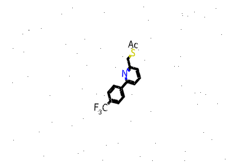 CC(=O)SCc1cccc(-c2ccc(C(F)(F)F)cc2)n1